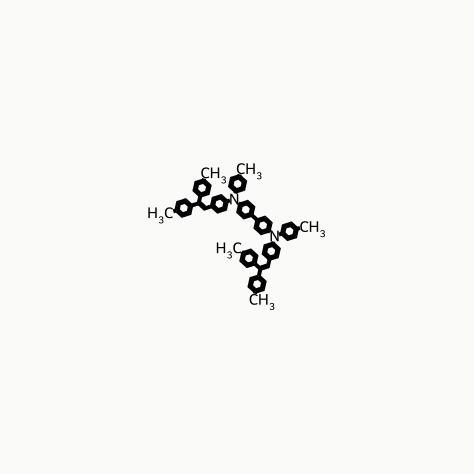 Cc1ccc(C(=Cc2ccc(N(c3ccc(C)cc3)c3ccc(-c4ccc(N(c5ccc(C)cc5)c5ccc(C=C(c6ccc(C)cc6)c6ccc(C)cc6)cc5)cc4)cc3)cc2)c2ccc(C)cc2)cc1